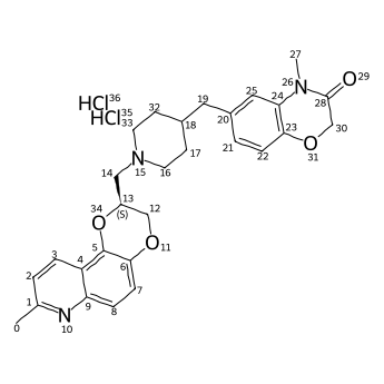 Cc1ccc2c3c(ccc2n1)OC[C@H](CN1CCC(Cc2ccc4c(c2)N(C)C(=O)CO4)CC1)O3.Cl.Cl